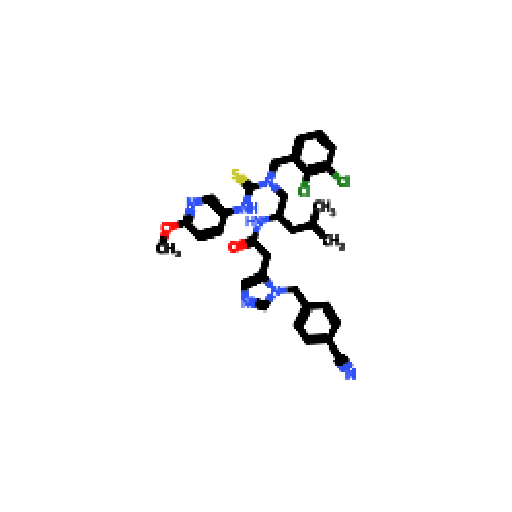 COc1ccc(NC(=S)N(Cc2cccc(Cl)c2Cl)CC(CC(C)C)NC(=O)Cc2cncn2Cc2ccc(C#N)cc2)cn1